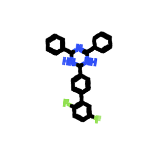 Fc1ccc(F)c(-c2ccc(C3NC(C4C=CC=CC4)=NC(c4ccccc4)N3)cc2)c1